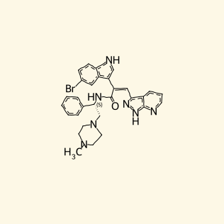 CN1CCN(C[C@@H](NC(=O)C(=Cc2n[nH]c3ncccc23)c2c[nH]c3ccc(Br)cc23)c2ccccc2)CC1